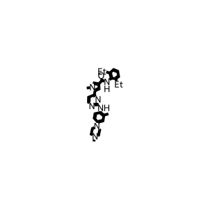 CCc1cccc(CC)c1NC(=O)c1cc(-c2ccnc(Nc3ccc(N4CCN(C)CC4)cc3C)n2)n(C)c1